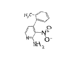 Cc1ccccc1-c1ccnc(N)c1[N+](=O)[O-]